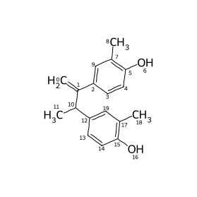 C=C(c1ccc(O)c(C)c1)C(C)c1ccc(O)c(C)c1